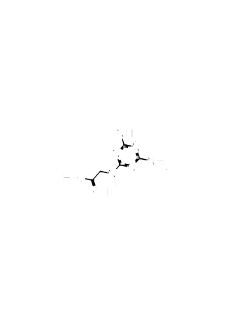 C=C(C)CNc1nc(N)nc(N)n1